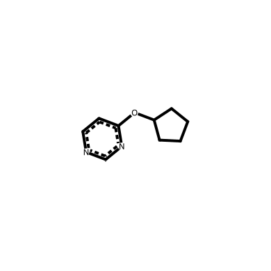 [c]1nccc(OC2CCCC2)n1